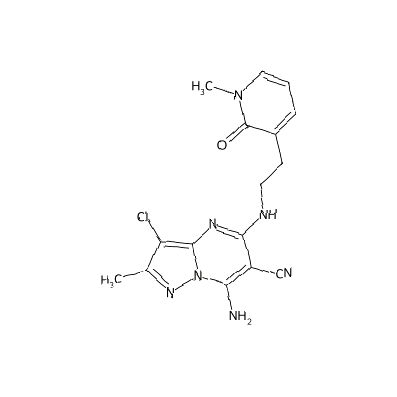 Cc1nn2c(N)c(C#N)c(NCCc3cccn(C)c3=O)nc2c1Cl